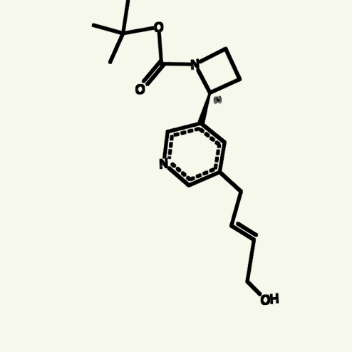 CC(C)(C)OC(=O)N1CC[C@H]1c1cncc(CC=CCO)c1